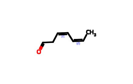 C/C=C\C=C/CC=O